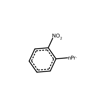 CC[CH]c1ccccc1[N+](=O)[O-]